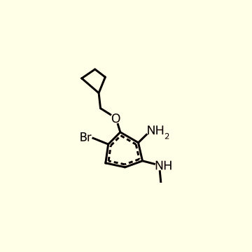 CNc1ccc(Br)c(OCC2CCC2)c1N